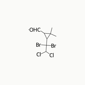 CC1(C)C([C]=O)C1C(Br)(Br)C(Cl)Cl